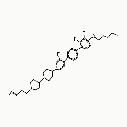 C/C=C/CCC1CCC(C2CCC(c3ccc(-c4ccc(-c5ccc(OCCCCC)c(F)c5F)cc4)c(F)c3)CC2)CC1